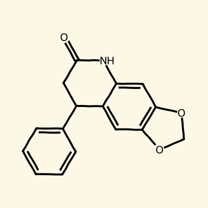 O=C1CC(c2ccccc2)c2cc3c(cc2N1)OCO3